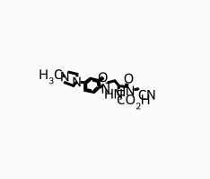 CN1CCN(c2ccc3nc(CC(NC(=O)O)C(=O)NCC#N)oc3c2)CC1